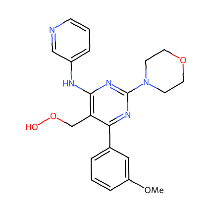 COc1cccc(-c2nc(N3CCOCC3)nc(Nc3cccnc3)c2COO)c1